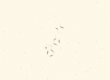 C=C(C)C(=O)C(O)Cc1ccc(O)c(-n2nnc3ccccc32)c1